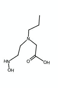 CCCN(CCNO)CC(=O)O